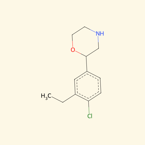 CCc1cc(C2CNCCO2)ccc1Cl